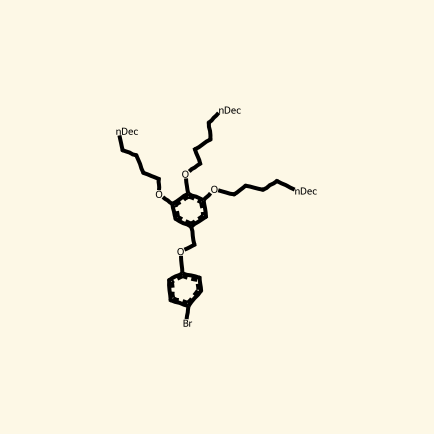 CCCCCCCCCCCCCCOc1cc(COc2ccc(Br)cc2)cc(OCCCCCCCCCCCCCC)c1OCCCCCCCCCCCCCC